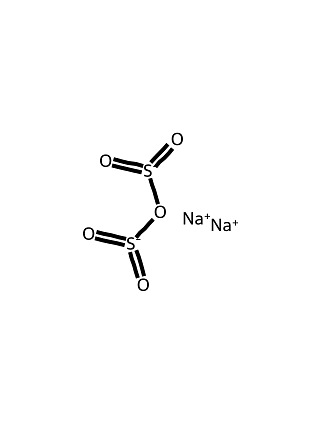 O=[S-](=O)O[S-](=O)=O.[Na+].[Na+]